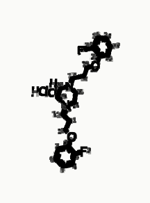 Cl.Cl.Fc1ccccc1OCCCN1CCN(CCCOc2ccccc2F)CC1